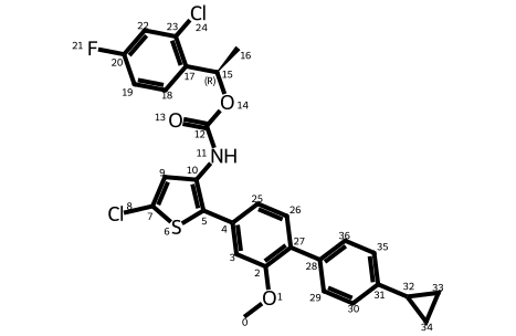 COc1cc(-c2sc(Cl)cc2NC(=O)O[C@H](C)c2ccc(F)cc2Cl)ccc1-c1ccc(C2CC2)cc1